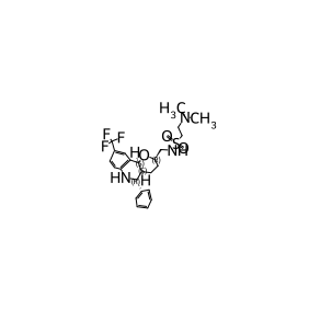 CN(C)CCS(=O)(=O)NC[C@H]1CC[C@@H]2[C@H](O1)c1cc(C(F)(F)F)ccc1N[C@H]2c1ccccc1